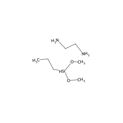 CCC[SiH](OC)OC.NCCN